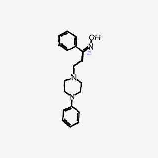 O/N=C(/CCN1CCN(c2ccccc2)CC1)c1ccccc1